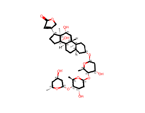 C[C@@H]1C[C@@H](O)C[C@H](O[C@H]2[C@@H](O)C[C@H](O[C@H]3[C@@H](O)C[C@H](O[C@H]4CC[C@@]5(C)[C@H](CC[C@@H]6[C@@H]5C[C@@H](O)[C@]5(C)[C@@H](C7=CC(=O)OC7)CC[C@]65O)C4)O[C@@H]3C)O[C@@H]2C)O1